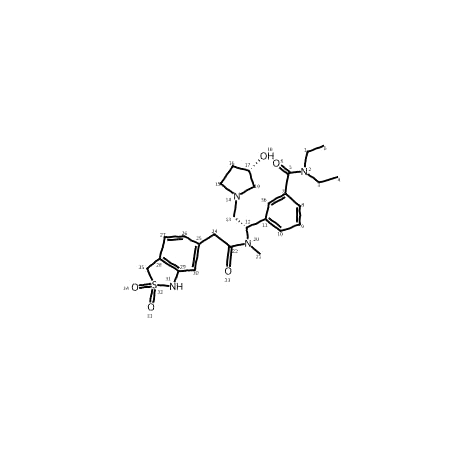 CCN(CC)C(=O)c1cccc([C@@H](CN2CC[C@H](O)C2)N(C)C(=O)Cc2ccc3c(c2)NS(=O)(=O)C3)c1